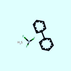 FB(F)F.S.c1ccc(-c2ccccc2)cc1